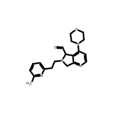 Cc1cccc(CCN2Cc3nccc(N4CCOCC4)c3C2C=O)n1